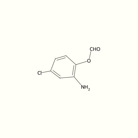 Nc1cc(Cl)ccc1OC=O